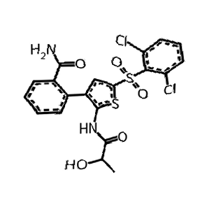 CC(O)C(=O)Nc1sc(S(=O)(=O)c2c(Cl)cccc2Cl)cc1-c1ccccc1C(N)=O